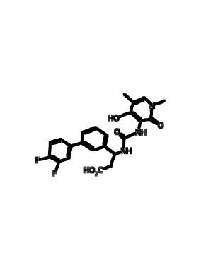 Cc1cn(C)c(=O)c(NC(=O)NC(CC(=O)O)c2cccc(-c3ccc(F)c(F)c3)c2)c1O